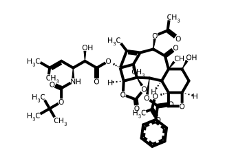 CC(=O)O[C@H]1C(=O)[C@@]2(C)[C@H]([C@H](OC(=O)c3ccccc3)[C@]34OC(=O)O[C@H]3[C@@]3(OC(=O)[C@H](O)[C@H](C=C(C)C)NC(=O)OC(C)(C)C)C(C)=C1[C@]43C)[C@]1(OC(C)=O)CO[C@@H]1C[C@@H]2O